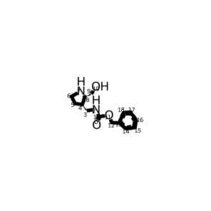 O=C(NC[C@@H]1CCN[C@@H]1CO)OCc1ccccc1